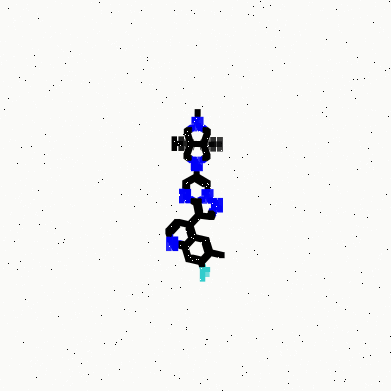 Cc1cc2c(-c3cnn4cc(N5C[C@H]6CN(C)C[C@H]6C5)cnc34)ccnc2cc1F